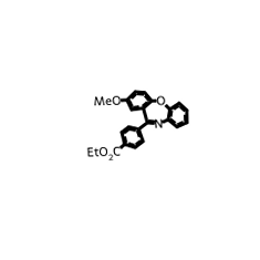 CCOC(=O)c1ccc(C2=Nc3ccccc3Oc3ccc(OC)cc32)cc1